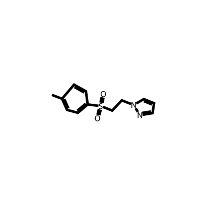 Cc1ccc(S(=O)(=O)CCn2cccn2)cc1